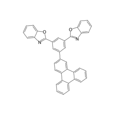 c1ccc2oc(-c3cc(-c4ccc5c6ccccc6c6ccccc6c5c4)cc(-c4nc5ccccc5o4)c3)nc2c1